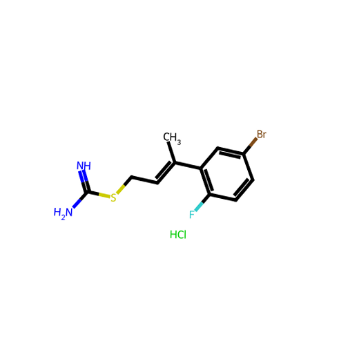 CC(=CCSC(=N)N)c1cc(Br)ccc1F.Cl